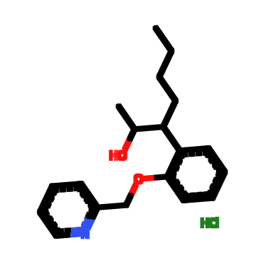 CCCCC(c1ccccc1OCc1ccccn1)C(C)O.Cl